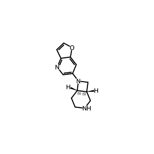 c1cc2ncc(N3C[C@@H]4CNCC[C@@H]43)cc2o1